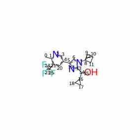 Cc1ncc(-c2cn(C34CC(C3)C4)c(C(O)C3CC3)n2)cc1C(F)(F)F